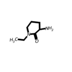 CCN1CCCC(N)C1=O